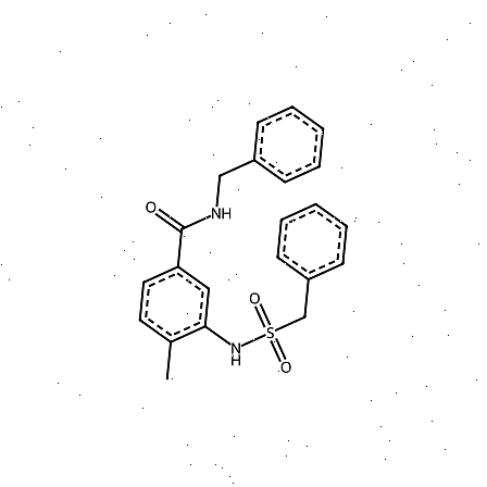 Cc1ccc(C(=O)NCc2ccccc2)cc1NS(=O)(=O)Cc1ccccc1